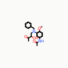 COc1ccc(NC(C)=O)cc1N(Cc1ccccc1)CC(O)C(C)=O